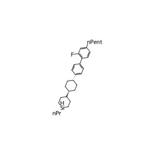 CCCCCc1ccc(-c2ccc([C@H]3CC[C@H](C4CC[SiH](CCC)CC4)CC3)cc2)c(F)c1